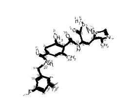 COC(=O)C(=Cc1[nH]cnc1C)NC(=O)c1c(C)cc(C(=O)[AsH]Cc2cc(F)cc(F)c2)cc1C